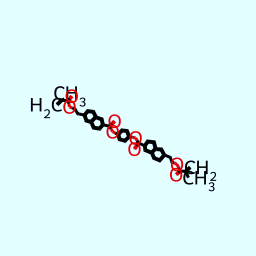 C=C(C)C(=O)OCCc1ccc2cc(C(=O)Oc3ccc(OC(=O)c4ccc5cc(CCOC(=O)C(=C)C)ccc5c4)cc3)ccc2c1